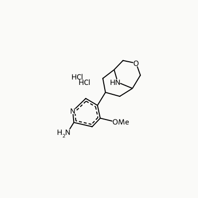 COc1cc(N)ncc1C1CC2COCC(C1)N2.Cl.Cl